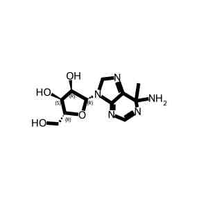 CC1(N)N=CN=C2C1=NCN2[C@@H]1O[C@H](CO)[C@@H](O)[C@H]1O